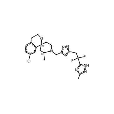 Cc1n[nH]c(C(F)(F)Cn2cc(CN3CC[C@]4(C[C@@H]3C)OCCc3ccc(Cl)cc34)nn2)n1